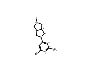 CC(C)c1cc(N2CC3CN(C)CC3C2)nc(N)n1